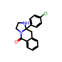 O=C1c2ccccc2CC2(c3ccc(Cl)cc3)NCCN12